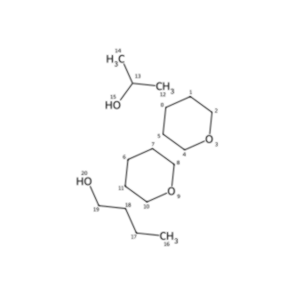 C1CCOCC1.C1CCOCC1.CC(C)O.CCCCO